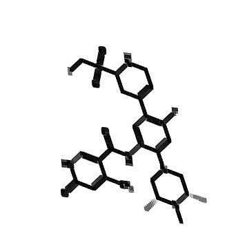 C[C@@H]1CN(c2cc(F)c(C3=CCNC(S(=O)(=O)CI)C3)cc2NC(=O)c2c[nH]c(=O)cc2C(F)(F)F)C[C@H](C)N1C